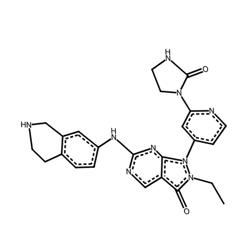 CCn1c(=O)c2cnc(Nc3ccc4c(c3)CNCC4)nc2n1-c1ccnc(N2CCNC2=O)c1